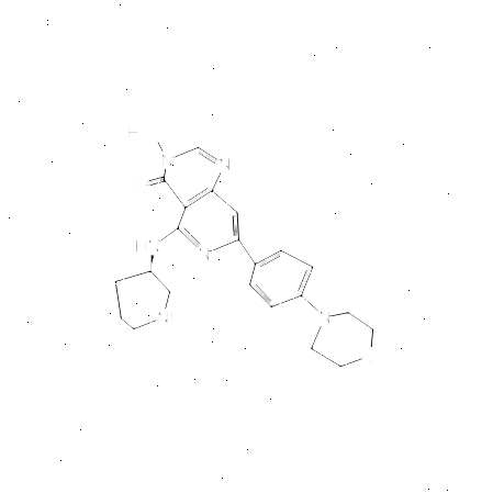 Cn1cnc2cc(-c3ccc(N4CCOCC4)cc3)nc(N[C@@H]3CCCNC3)c2c1=O